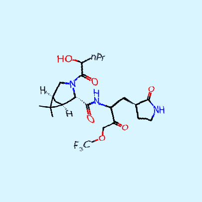 CCCC(O)C(=O)N1C[C@H]2[C@@H]([C@H]1C(=O)NC(C[C@@H]1CCNC1=O)C(=O)COC(F)(F)F)C2(C)C